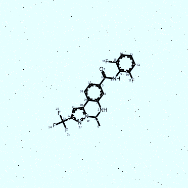 CC1Nc2cc(C(=O)Nc3c(F)cccc3F)ccc2-c2cc(C(F)(F)F)nn21